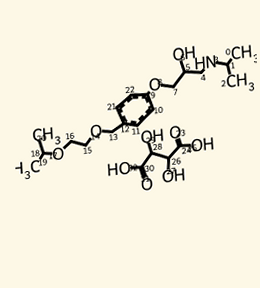 CC(C)NCC(O)COc1ccc(COCCOC(C)C)cc1.O=C(O)C(O)C(O)C(=O)O